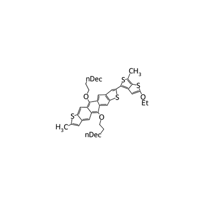 CCCCCCCCCCCCOc1c2cc3cc(-c4sc(C)c5sc(OCC)cc45)sc3cc2c(OCCCCCCCCCCCC)c2cc3cc(C)sc3cc12